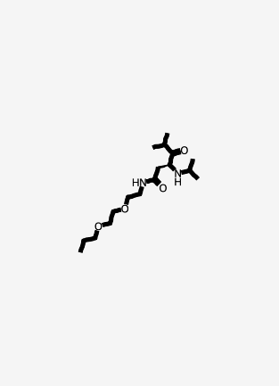 CCCOCCOCCNC(=O)C[C@H](NC(C)C)C(=O)C(C)C